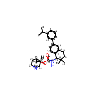 CC(C)c1cccc(-c2ccc3c(c2)CCC(C)(C)[C@H]3NC(=O)O[C@H]2CN3CCC2CC3)c1